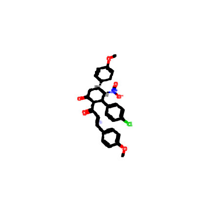 COC1=CCC([C@H]2CC(=O)C(C(=O)/C=C/c3ccc(OC)cc3)C(c3ccc(Cl)cc3)[C@H]2[N+](=O)[O-])C=C1